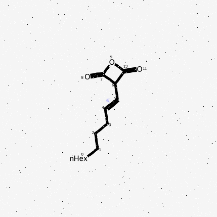 CCCCCCCCC/C=C/C1C(=O)OC1=O